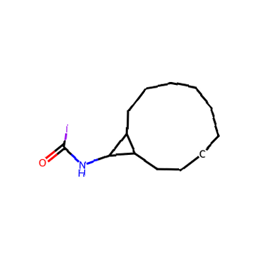 O=C(I)NC1C2CCCCCCCCCC21